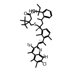 [2H]c1c(/C=C(\C)c2c(C)ccc([C@@](C)(CC(C)c3ccccc3C(C)(O)CC)SCC3(CC(=O)O)C(C)(C)C3(C)C)c2C)nc2c([2H])c(Cl)c(C)c(C)c2c1C